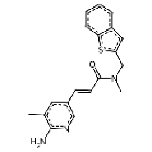 Cc1cc(C=CC(=O)N(C)Cc2cc3ccccc3s2)cnc1N